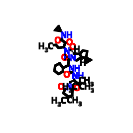 CCCC(NC(=O)[C@@H]1[C@H]2CCC3(CC3)[C@H]2CN1C(=O)[C@@H](NC(=O)N[C@H](CN1C(=O)CC(C)(C)CC1=O)C(C)(C)C)C1CCCCC1)C(=O)C(=O)NC1CC1